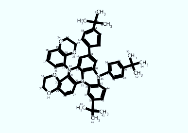 CC(C)(C)c1ccc(-c2cc3c4c(c2)N(c2cccc5c2OCCO5)c2c(ccc5c2OCCO5)B4c2cc(C(C)(C)C)ccc2N3c2ccc(C(C)(C)C)cc2)cc1